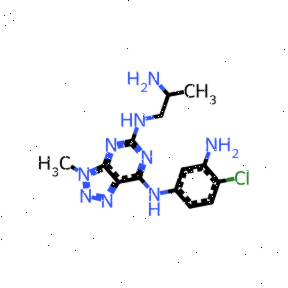 CC(N)CNc1nc(Nc2ccc(Cl)c(N)c2)c2nnn(C)c2n1